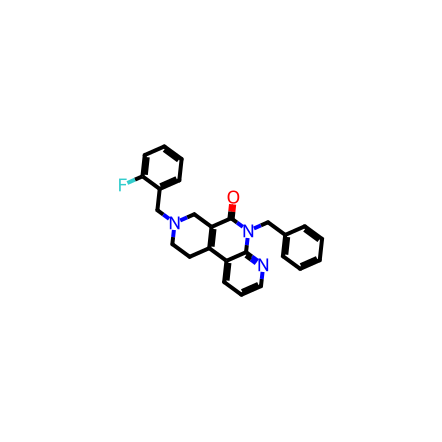 O=c1c2c(c3cccnc3n1Cc1ccccc1)CCN(Cc1ccccc1F)C2